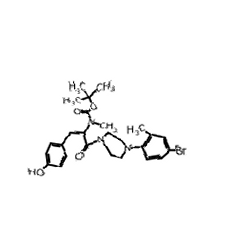 Cc1cc(Br)ccc1N1CCN(C(=O)C(Cc2ccc(O)cc2)N(C)C(=O)OC(C)(C)C)CC1